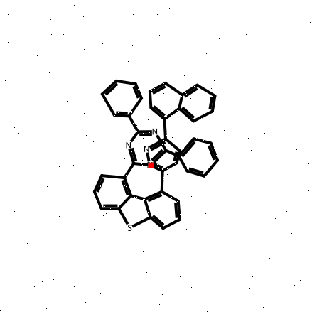 c1ccc(-c2nc(-c3ccccc3)nc(-c3cccc4sc5cccc(-c6ccc(-c7cccc8ccccc78)nn6)c5c34)n2)cc1